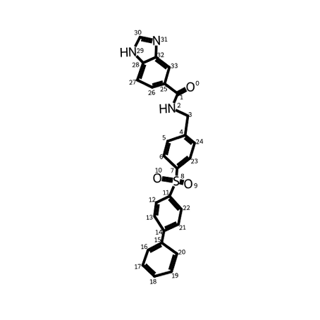 O=C(NCc1ccc(S(=O)(=O)c2ccc(-c3ccccc3)cc2)cc1)c1ccc2[nH]cnc2c1